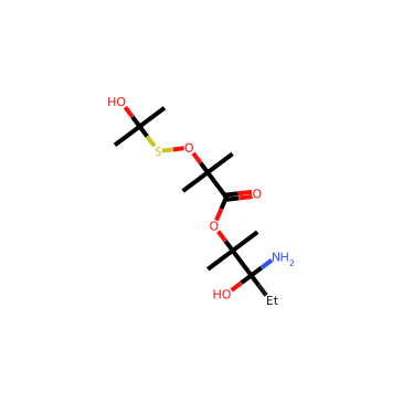 CCC(N)(O)C(C)(C)OC(=O)C(C)(C)OSC(C)(C)O